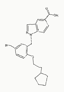 O=C(O)c1ccc2c(cnn2Cc2cc(Br)ccc2OCCC2CCCC2)c1